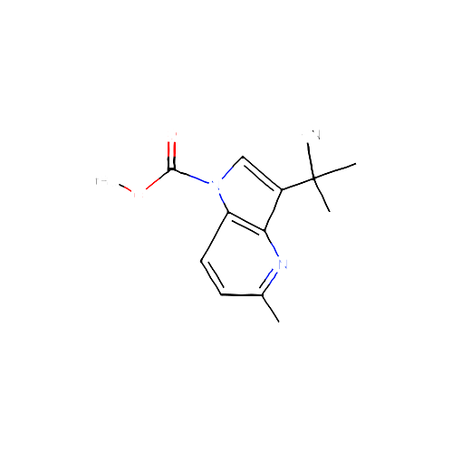 Cc1ccc2c(n1)c(C(C)(C)C#N)cn2C(=O)OC(C)(C)C